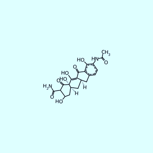 CC(=O)Nc1ccc2c(c1O)C(=O)C1=C(O)[C@]3(O)C(=O)C(C(N)=O)C(O)C[C@@H]3C[C@@H]1C2